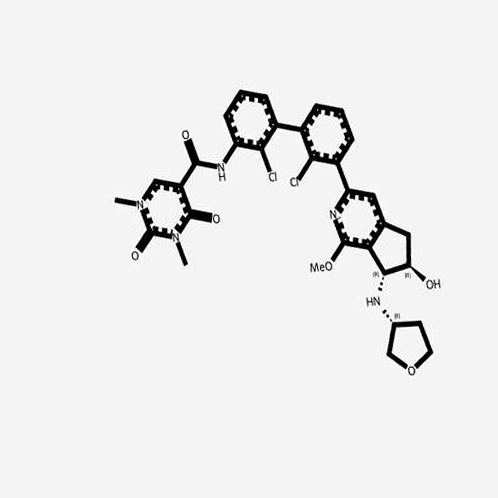 COc1nc(-c2cccc(-c3cccc(NC(=O)c4cn(C)c(=O)n(C)c4=O)c3Cl)c2Cl)cc2c1[C@@H](N[C@@H]1CCOC1)[C@H](O)C2